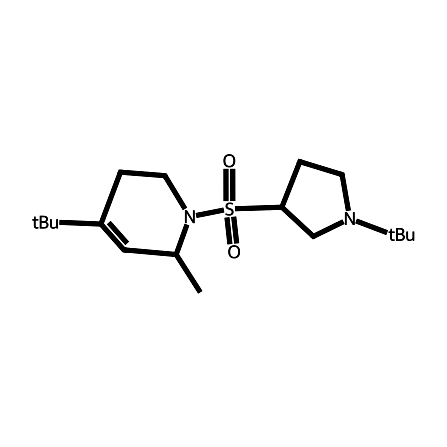 CC1C=C(C(C)(C)C)CCN1S(=O)(=O)C1CCN(C(C)(C)C)C1